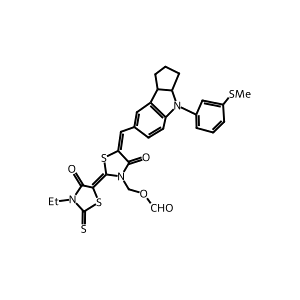 CCN1C(=O)/C(=c2\s/c(=C/c3ccc4c(c3)C3CCCC3N4c3cccc(SC)c3)c(=O)n2COC=O)SC1=S